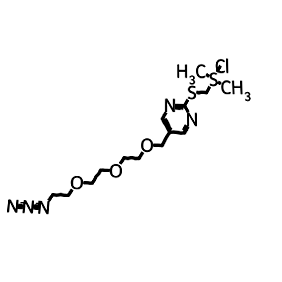 CS(C)(Cl)CSc1ncc(COCCOCCOCCN=[N+]=[N-])cn1